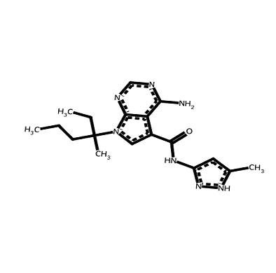 CCCC(C)(CC)n1cc(C(=O)Nc2cc(C)[nH]n2)c2c(N)ncnc21